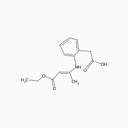 CCOC(=O)C=C(C)Nc1ccccc1CC(=O)O